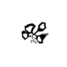 CN(c1ccccc1)C(c1ccccc1)(c1ccccc1)c1ccccc1.[Na]